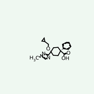 Cn1cnc([C@]2(OCC3CC3)CC[C@@](C(=O)O)(c3ccccc3)CC2)n1